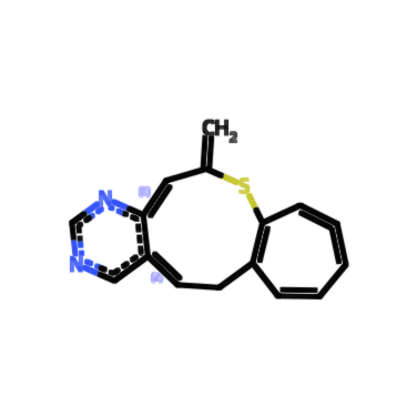 C=C1/C=c2/ncnc/c2=C/CC2=C(C=C=CC=C2)S1